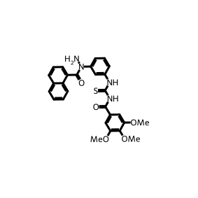 COc1cc(C(=O)NC(=S)Nc2cccc(N(N)C(=O)c3cccc4ccccc34)c2)cc(OC)c1OC